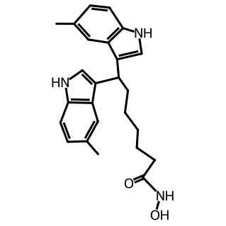 Cc1ccc2[nH]cc(C(CCCCCC(=O)NO)c3c[nH]c4ccc(C)cc34)c2c1